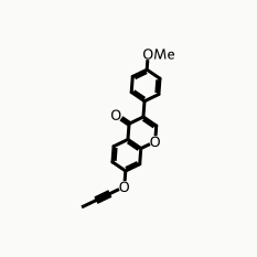 CC#COc1ccc2c(=O)c(-c3ccc(OC)cc3)coc2c1